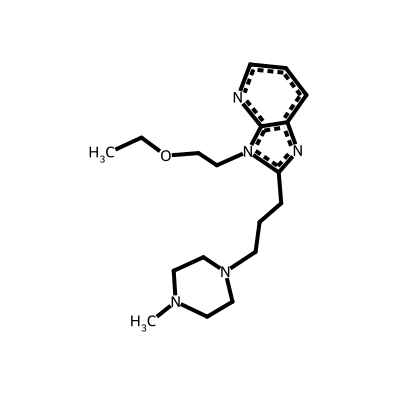 CCOCCn1c(CCCN2CCN(C)CC2)nc2cccnc21